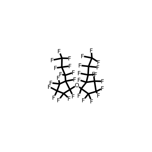 FC(F)(F)C(F)(F)C(F)(F)C1(F)C(F)(F)C(F)(F)C(F)(F)C1(F)OC1(F)C(F)(F)C(F)(F)C(F)(F)C1(F)C(F)(F)C(F)(F)C(F)(F)F